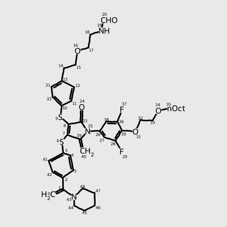 C=C(c1ccc(SC2=C(Sc3ccc(CCOCCNC=O)cc3)C(=O)N(c3cc(F)c(OCCOCCCCCCCC)c(F)c3)C2=C)cc1)N1CCCCC1